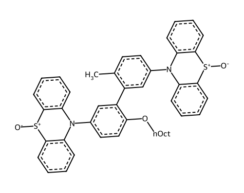 CCCCCCCCOc1ccc(N2c3ccccc3[S+]([O-])c3ccccc32)cc1-c1cc(N2c3ccccc3[S+]([O-])c3ccccc32)ccc1C